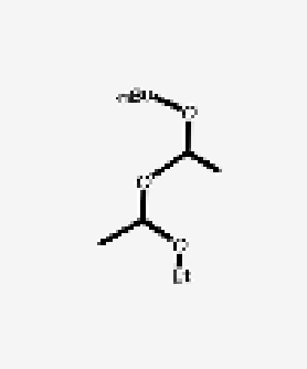 CCC[CH]OC(C)OC(C)OCC